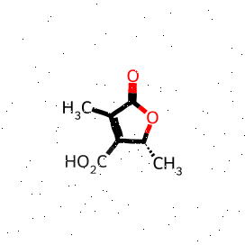 CC1=C(C(=O)O)[C@@H](C)OC1=O